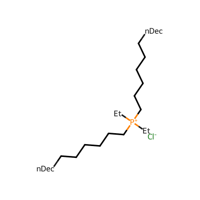 CCCCCCCCCCCCCCCC[P+](CC)(CC)CCCCCCCCCCCCCCCC.[Cl-]